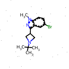 Cn1nc(C2CN(C(C)(C)C)C2)c2cc(Br)ccc21